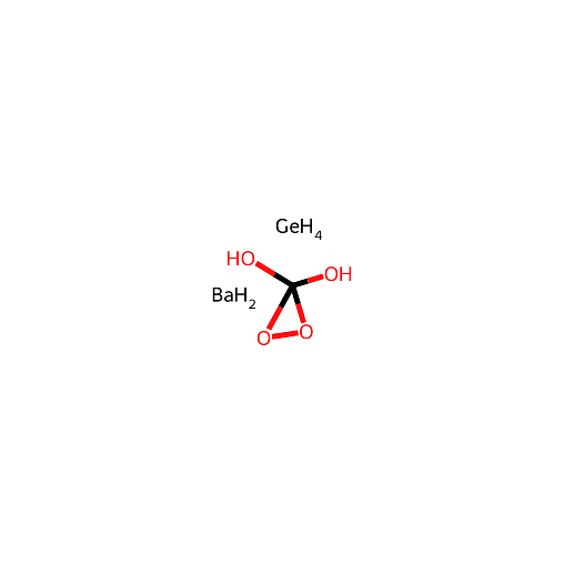 OC1(O)OO1.[BaH2].[GeH4]